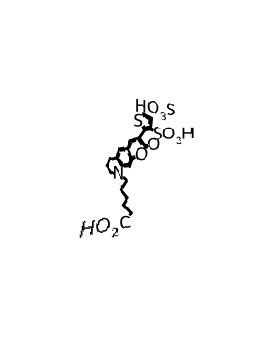 O=C(O)CCCCCN1CCCc2cc3cc(-c4sc(S(=O)(=O)O)cc4S(=O)(=O)O)c(=O)oc3cc21